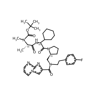 C[C@@H](C(=O)N[C@H](C(=O)N1CCC[C@H]1CN(CCc1ccc(F)cc1)C(=O)c1cn2cccnc2n1)C1CCCCC1)N(C)C(=O)OC(C)(C)C